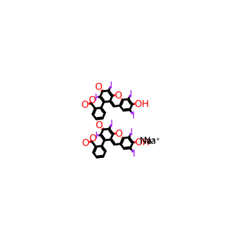 O=C([O-])c1ccccc1-c1c2cc3cc(I)c(O)c(I)c3oc-2c(I)c(=O)c1I.O=C([O-])c1ccccc1-c1c2cc3cc(I)c(O)c(I)c3oc-2c(I)c(=O)c1I.[Na+].[Na+]